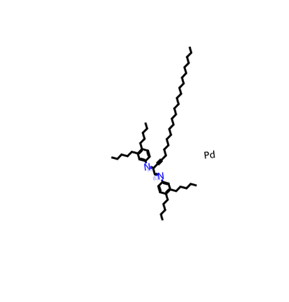 CCCCCCCCCCCCCCCCCCCCCCC#CC(/C=N/c1ccc(CCCCC)c(CCCCC)c1)=N\c1ccc(CCCCC)c(CCCCC)c1.[Pd]